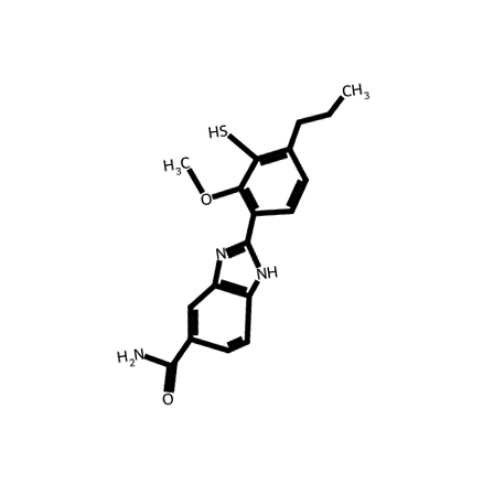 CCCc1ccc(-c2nc3cc(C(N)=O)ccc3[nH]2)c(OC)c1S